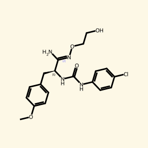 COc1ccc(C[C@H](NC(=O)Nc2ccc(Cl)cc2)/C(N)=N/OCCO)cc1